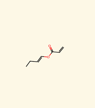 C=CC(=O)OC=CCC